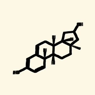 C[C@]12CC[C@H]3[C@@H](CC=C4C=C(O)C=C[C@@H]43)[C@@H]1CC(O)C2